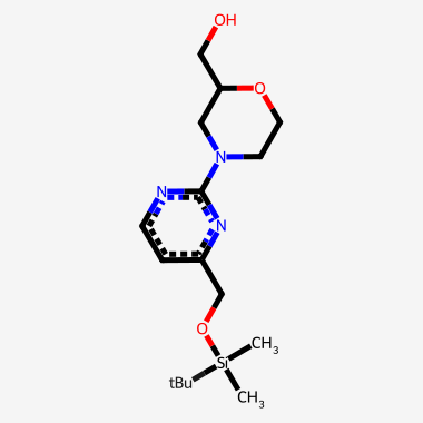 CC(C)(C)[Si](C)(C)OCc1ccnc(N2CCOC(CO)C2)n1